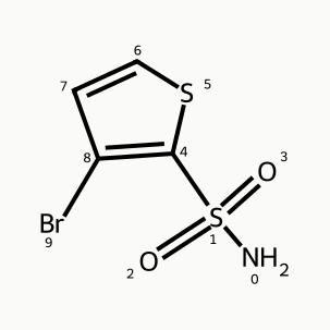 NS(=O)(=O)c1sccc1Br